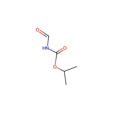 CC(C)OC(=O)NC=O